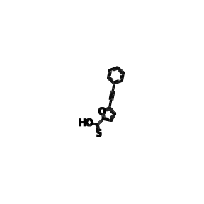 OC(=S)c1ccc(C#Cc2ccccc2)o1